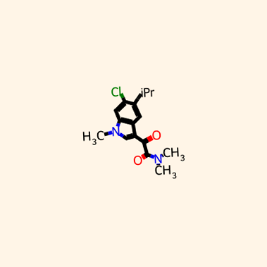 CC(C)c1cc2c(C(=O)C(=O)N(C)C)cn(C)c2cc1Cl